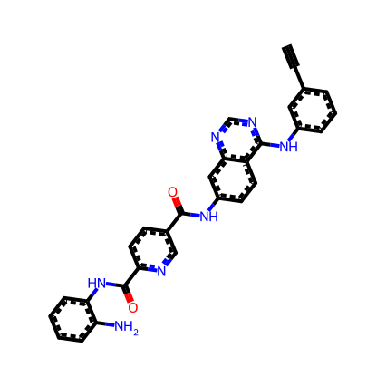 C#Cc1cccc(Nc2ncnc3cc(NC(=O)c4ccc(C(=O)Nc5ccccc5N)nc4)ccc23)c1